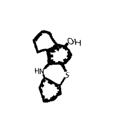 Oc1cc2c(c3c1CC=CC3)Nc1ccccc1S2